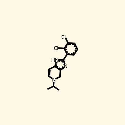 CC(C)N1C=Cc2[nH]c(-c3cccc(Cl)c3Cl)nc2C1